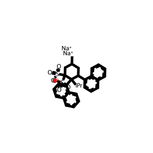 CC1CC(c2cccc3ccccc23)C(c2cccc3ccccc23)(C(C)C)C(S(=O)(=O)[O-])(S(=O)(=O)[O-])C1.[Na+].[Na+]